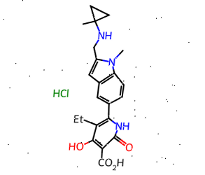 CCc1c(-c2ccc3c(c2)cc(CNC2(C)CC2)n3C)[nH]c(=O)c(C(=O)O)c1O.Cl